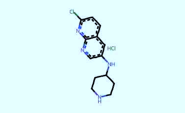 Cl.Clc1ccc2cc(NC3CCNCC3)cnc2n1